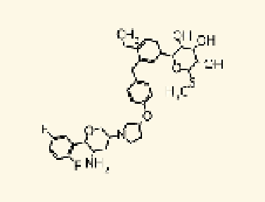 CCC1=CCC([C@@H]2O[C@H](SC)[C@@H](O)[C@H](O)[C@H]2O)C=C1Cc1ccc(O[C@@H]2CCN(C3CO[C@H](c4cc(F)ccc4F)[C@@H](N)C3)C2)cc1